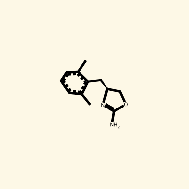 Cc1cccc(C)c1C[C@H]1COC(N)=N1